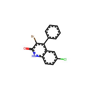 O=c1[nH]c2ccc(Cl)cc2c(-c2ccccc2)c1Br